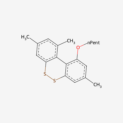 CCCCCOc1cc(C)cc2c1-c1c(C)cc(C)cc1SS2